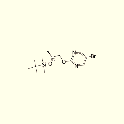 C[C@@H](COc1ncc(Br)cn1)O[Si](C)(C)C(C)(C)C